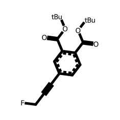 CC(C)(C)OC(=O)c1ccc(C#CCF)cc1C(=O)OC(C)(C)C